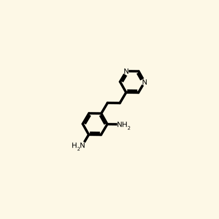 Nc1ccc(CCc2cncnc2)c(N)c1